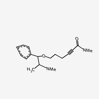 CNC(=O)C#CCCCOC(c1ccccc1)C(C)NC